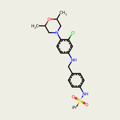 CC1CN(c2ccc(NCc3ccc(NS(=O)(=O)C(C)C)cc3)cc2Cl)CC(C)O1